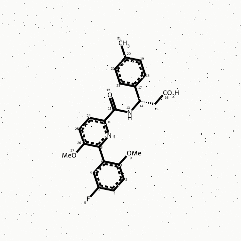 COc1ccc(F)cc1-c1nc(C(=O)N[C@@H](CC(=O)O)c2ccc(C)cc2)ccc1OC